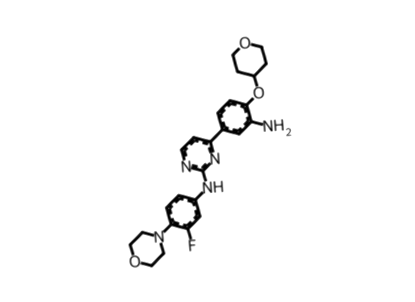 Nc1cc(-c2ccnc(Nc3ccc(N4CCOCC4)c(F)c3)n2)ccc1OC1CCOCC1